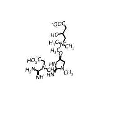 CN(CC(=O)O)C(=N)N.CN1CC(=O)NC1=N.C[N+](C)(C)CC(O)CC(=O)[O-]